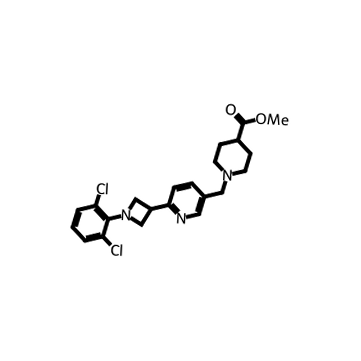 COC(=O)C1CCN(Cc2ccc(C3CN(c4c(Cl)cccc4Cl)C3)nc2)CC1